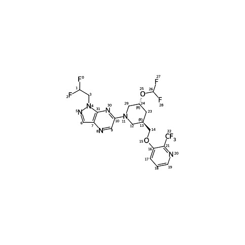 FC(F)Cn1ncc2ncc(N3C[C@H](COc4cccnc4C(F)(F)F)C[C@@H](OC(F)F)C3)nc21